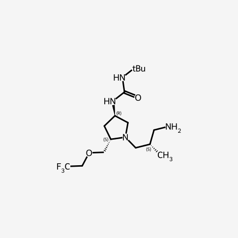 C[C@@H](CN)CN1C[C@H](NC(=O)NC(C)(C)C)C[C@H]1COCC(F)(F)F